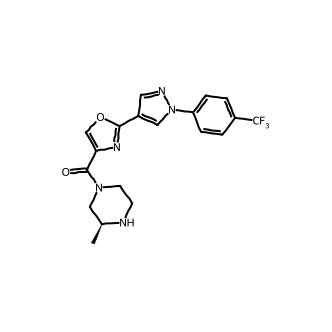 C[C@H]1CN(C(=O)c2coc(-c3cnn(-c4ccc(C(F)(F)F)cc4)c3)n2)CCN1